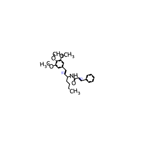 CCCCC(/C=C/c1cc(OC)c(OC)c(OC)c1)NC(=O)/C=C/c1ccccc1